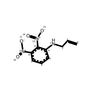 C=CCNc1cccc([N+](=O)[O-])c1[N+](=O)[O-]